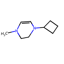 CN1C=CN(C2CCC2)CC1